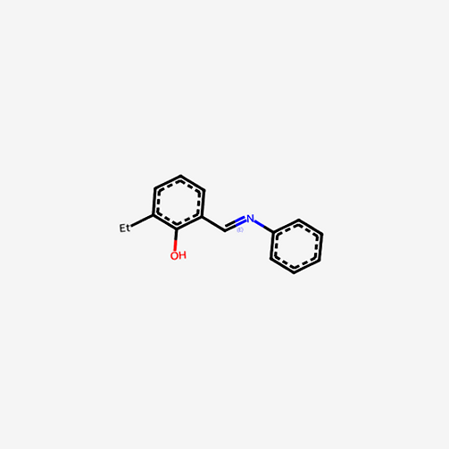 CCc1cccc(/C=N/c2ccccc2)c1O